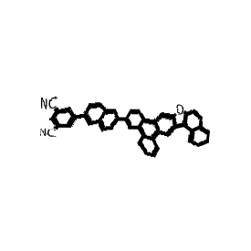 N#Cc1cc(C#N)cc(-c2ccc3cc(-c4ccc5c(c4)c4ccccc4c4cc6c(cc54)oc4ccc5ccccc5c46)ccc3c2)c1